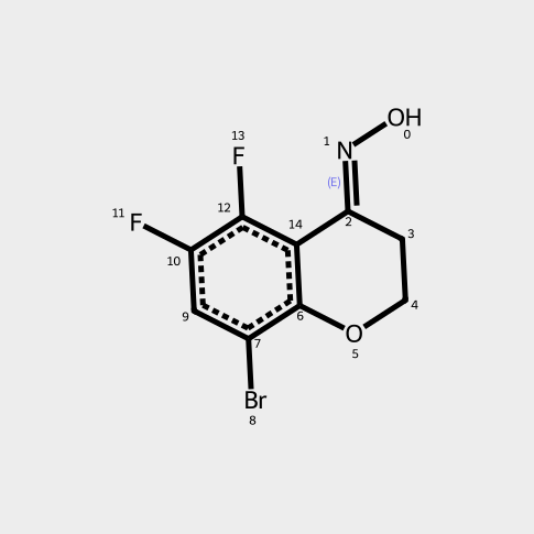 O/N=C1\CCOc2c(Br)cc(F)c(F)c21